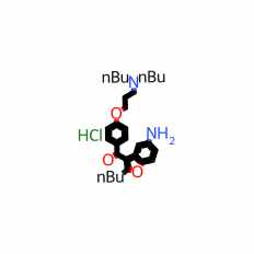 CCCCc1oc2ccc(N)cc2c1C(=O)c1ccc(OCCCN(CCCC)CCCC)cc1.Cl